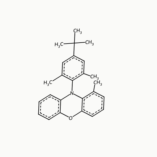 Cc1cc(C(C)(C)C)cc(C)c1N1c2ccccc2Oc2cccc(C)c21